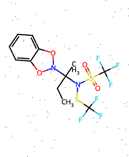 CCC(C)(N1Oc2ccccc2O1)N(SC(F)(F)F)S(=O)(=O)C(F)(F)F